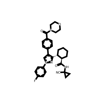 N#CC1(NC(=O)[C@@H]2CCCC[C@H]2c2nn(-c3ccc(F)cc3)cc2-c2ccc(C(=O)N3CCOCC3)cc2)CC1